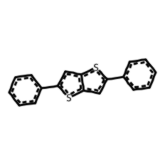 c1ccc(-c2cc3sc(-c4ccccc4)cc3s2)cc1